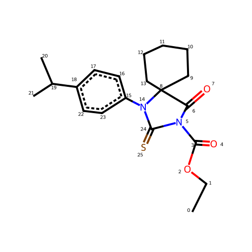 CCOC(=O)N1C(=O)C2(CCCCC2)N(c2ccc(C(C)C)cc2)C1=S